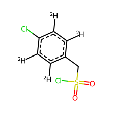 [2H]c1c([2H])c(CS(=O)(=O)Cl)c([2H])c([2H])c1Cl